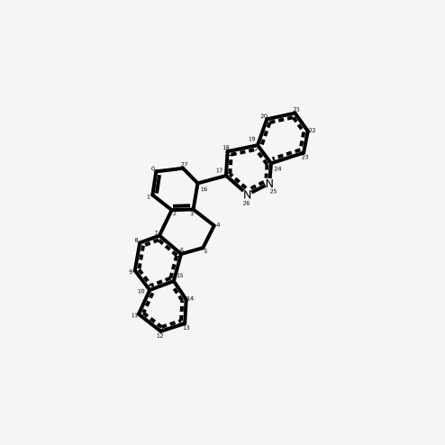 C1=CC2=C(CCc3c2ccc2ccccc32)C(c2cc3ccccc3nn2)C1